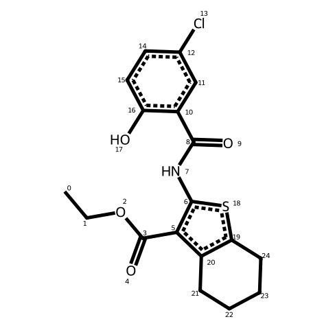 CCOC(=O)c1c(NC(=O)c2cc(Cl)ccc2O)sc2c1CCCC2